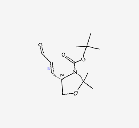 CC(C)(C)OC(=O)N1[C@@H](/C=C/C=O)COC1(C)C